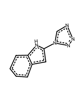 c1ccc2[nH]c(-n3cnnn3)cc2c1